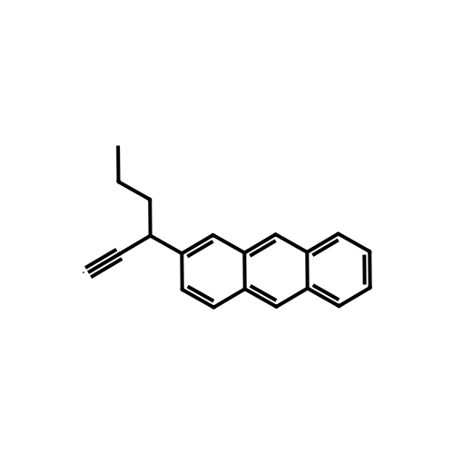 [C]#CC(CCC)c1ccc2cc3ccccc3cc2c1